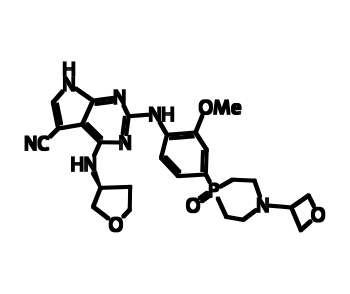 COc1cc(P2(=O)CCN(C3COC3)CC2)ccc1Nc1nc(N[C@H]2CCOC2)c2c(C#N)c[nH]c2n1